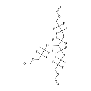 O=COCC(F)(F)C(F)(F)OC(F)(F)C(C(F)(F)OC(F)(F)C(F)(F)COC=O)C(F)(F)OC(F)(F)C(F)(F)COC=O